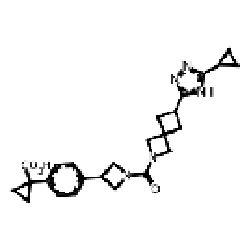 O=C(N1CC(c2ccc(C3(C(=O)O)CC3)cc2)C1)N1CC2(CC(c3nnc(C4CC4)[nH]3)C2)C1